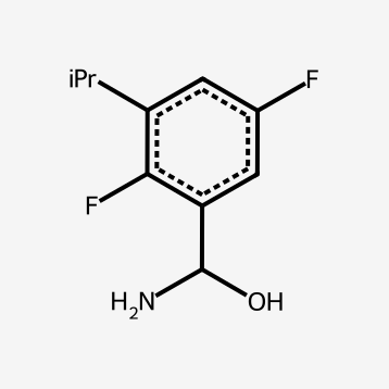 CC(C)c1cc(F)cc(C(N)O)c1F